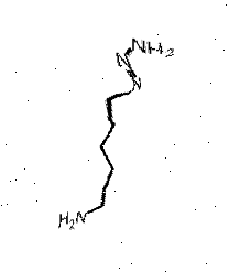 NCCCCCCN=NN